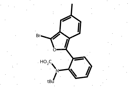 Cc1ccc2c(-c3ccccc3N(C(=O)O)C(C)(C)C)oc(Br)c2c1